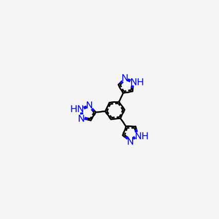 c1n[nH]cc1-c1cc(-c2cn[nH]c2)cc(-c2cn[nH]n2)c1